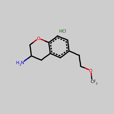 Cl.NC1COc2ccc(CCOC(F)(F)F)cc2C1